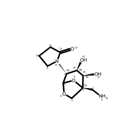 NC[C@@]12COC(O1)[C@H](N1CCCC1=O)[C@@H](O)[C@H]2O